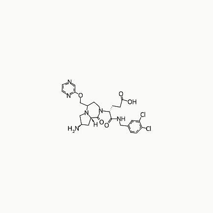 N[C@@H]1C[C@H]2C(=O)N([C@H](CCC(=O)O)C(=O)NCc3ccc(Cl)c(Cl)c3)CCC(COc3cnccn3)N2C1